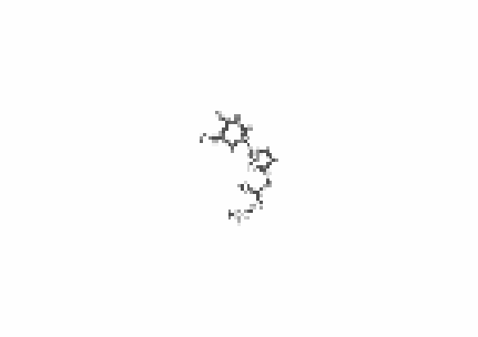 COC(=O)Cc1ccn(-c2ccc(F)c(Cl)c2)n1